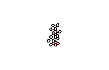 Fc1c(-c2ccccc2-c2ccccc2)cc(-c2ccccc2-c2ccccc2)cc1N(c1ccccc1)c1ccc2ccc3c(N(c4ccccc4)c4cc(-c5ccccc5-c5ccccc5)cc(-c5ccccc5-c5ccccc5)c4F)ccc4ccc1c2c43